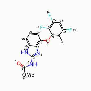 COC(=O)Nc1nc2c(Oc3c(C)c(F)cc(F)c3F)cccc2[nH]1